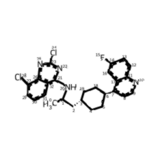 CC(C[C@H]1CC[C@H](c2ccnc3ccc(F)cc32)CC1)Nc1nc(Cl)nc2c(Cl)cccc12